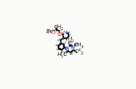 C=C(COc1ncccc1Cc1ccc(F)c(N2C(=C)C=C(C(F)(F)F)N(C)C2=C)c1)OCC